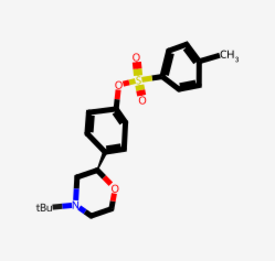 Cc1ccc(S(=O)(=O)Oc2ccc([C@@H]3CN(C(C)(C)C)CCO3)cc2)cc1